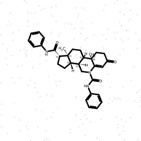 C[C@]12CC[C@H]3[C@@H](CN(C(=O)Nc4ccccc4)C4=CC(=O)CC[C@@]43C)[C@@H]1CC[C@@H]2C(=O)Nc1ccccc1